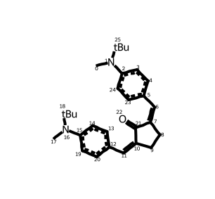 CN(c1ccc(C=C2CCC(=Cc3ccc(N(C)C(C)(C)C)cc3)C2=O)cc1)C(C)(C)C